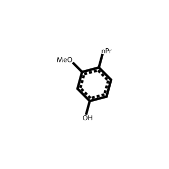 [CH2]CCc1ccc(O)cc1OC